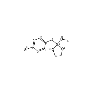 CO[Si](Cc1ccc(Br)cc1)(OC)OC